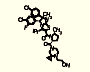 CC(C)C1=C(C(=O)N2[C@H](C)CC[C@@H]2C(=O)N2CCN(CCO)C3(CC3)C2)SC2=N[C@@](C)(c3ccc(Cl)cc3)[C@@H](c3ccc(Cl)c(F)c3)N21